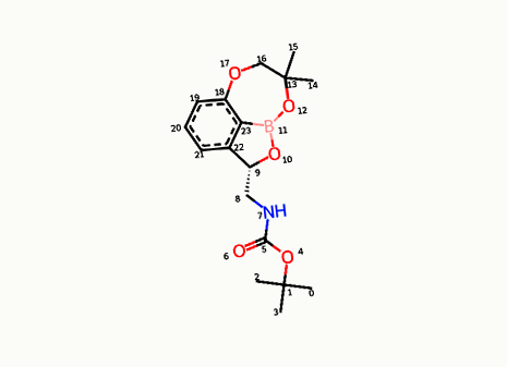 CC(C)(C)OC(=O)NC[C@H]1OB2OC(C)(C)COc3cccc1c32